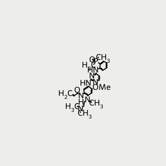 C=CC(=O)Nc1cc(Nc2nccc(Nc3ccccc3P(C)(C)=O)n2)c(OC)cc1N(C)CCN(C)C